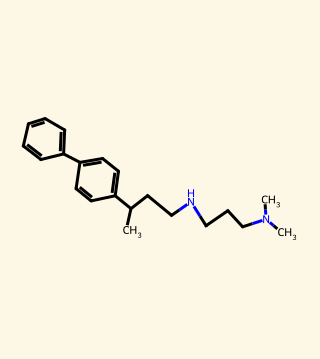 CC(CCNCCCN(C)C)c1ccc(-c2ccccc2)cc1